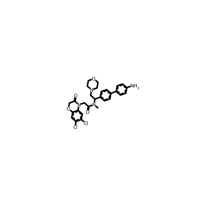 CN(C(=O)CN1C(=O)COc2cc(Cl)c(Cl)cc21)C(CN1CCOCC1)c1ccc(-c2ccc(N)cc2)cc1